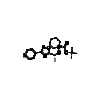 C[C@@H](O[N+]1(C(=O)OC(C)(C)C)CCCCC1)c1nc(-c2ccncc2)no1